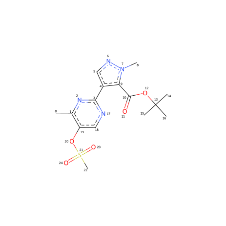 Cc1nc(-c2cnn(C)c2C(=O)OC(C)(C)C)ncc1OS(C)(=O)=O